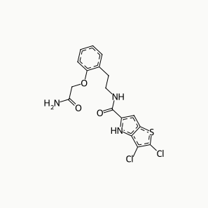 NC(=O)COc1ccccc1CCNC(=O)c1cc2sc(Cl)c(Cl)c2[nH]1